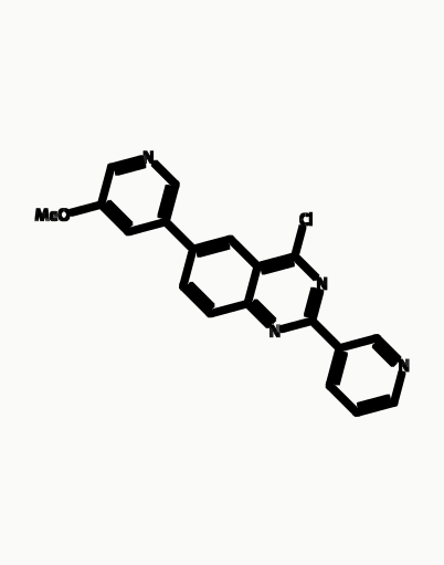 COc1cncc(-c2ccc3nc(-c4cccnc4)nc(Cl)c3c2)c1